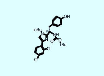 CCCCn1cc(-c2ccc(Cl)cc2Cl)nc1[C@H](Cc1ccc(O)cc1)NC(=O)OC(C)(C)C